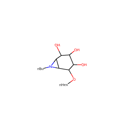 CCCCCCOC1C(O)C(O)C(O)C2C1N2CCCC